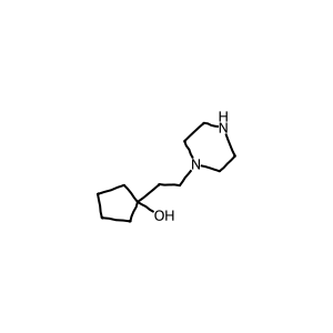 OC1(CCN2CCNCC2)CCCC1